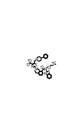 COC(=O)c1nc(N2CCc3cccc(C(=O)N(COCC[Si](C)(C)C)c4nc5ccccc5s4)c3C2)sc1CN1CCC(c2ccccc2)CC1